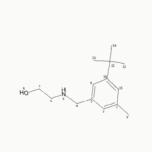 Cc1cc(CNCCO)cc(C(C)(C)C)c1